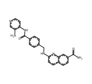 NC(=O)c1ccc2ccc(NCc3ccc(C(=O)Nc4ccncc4N)cc3)nc2c1